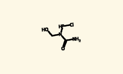 NC(=O)N(CO)PCl